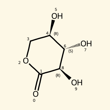 O=C1OC[C@@H](O)[C@H](O)[C@H]1O